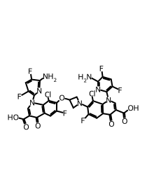 Nc1nc(-n2cc(C(=O)O)c(=O)c3cc(F)c(OC4CN(c5c(F)cc6c(=O)c(C(=O)O)cn(-c7nc(N)c(F)cc7F)c6c5Cl)C4)c(Cl)c32)c(F)cc1F